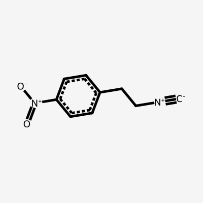 [C-]#[N+]CCc1ccc([N+](=O)[O-])cc1